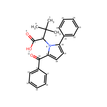 CC(C)(C)C(C(=O)O)n1c(C(=O)c2ccccc2)ccc1-c1ccccc1